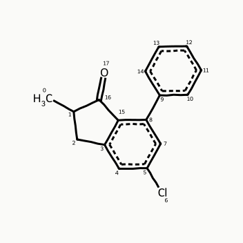 CC1Cc2cc(Cl)cc(-c3ccccc3)c2C1=O